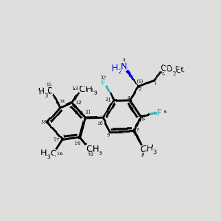 CCOC(=O)C[C@H](N)c1c(F)c(C)cc(-c2c(C)c(C)cc(C)c2C)c1F